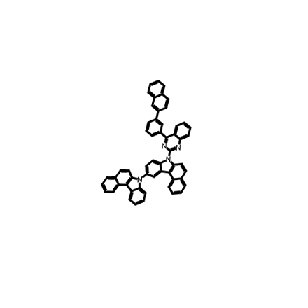 c1cc(-c2ccc3ccccc3c2)cc(-c2nc(-n3c4ccc(-n5c6ccccc6c6c7ccccc7ccc65)cc4c4c5ccccc5ccc43)nc3ccccc23)c1